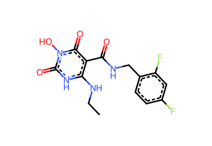 CCNc1[nH]c(=O)n(O)c(=O)c1C(=O)NCc1ccc(F)cc1F